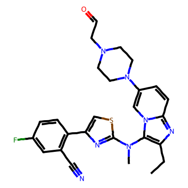 CCc1nc2ccc(N3CCN(CC=O)CC3)cn2c1N(C)c1nc(-c2ccc(F)cc2C#N)cs1